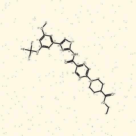 CCOC(=O)C1CCN(c2cnc(C(=O)Nc3nc(-c4cc(OC)cc(OC(F)(F)F)c4)cs3)cn2)CC1